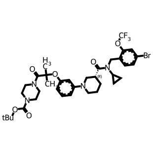 CC(C)(C)OC(=O)N1CCN(C(=O)C(C)(C)Oc2cccc(N3CCC[C@@H](C(=O)N(Cc4ccc(Br)cc4OC(F)(F)F)C4CC4)C3)c2)CC1